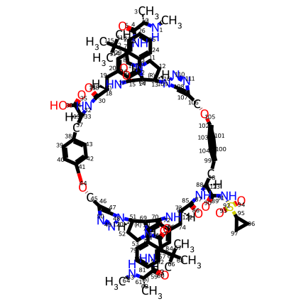 CN[C@@H](C)C(=O)N[C@H](C(=O)N1CC[C@@H]2[C@H]1C(=O)N[C@@H](Cc1ccc3ccccc3c1)C(=O)N[C@H](C(=O)O)Cc1ccc(cc1)OCc1cn(nn1)[C@@H]1CCN(C(=O)[C@@H](NC(=O)[C@H](C)NC)C(C)(C)C)[C@@H]1C(=O)N[C@H](Cc1ccc3ccccc3c1)C(=O)N[C@H](C(=O)NS(=O)(=O)C1CC1)Cc1ccc(cc1)OCc1cn2nn1)C(C)(C)C